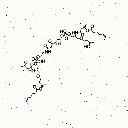 C/C=C\CCCC(=O)O[C@H](C)CCOCC(COP(=O)(O)OCCNC(=O)CC(=O)NCCOP(=O)(O)OCC(COCC[C@@H](C)O)NC(=O)C[C@@H](C)OC(=O)CCC/C=C\C)NC(=O)CC(C)=O